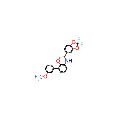 FC(F)(F)Oc1cccc(-c2cccc3c2OCC(c2ccc4c(c2)OC(F)(F)O4)N3)c1